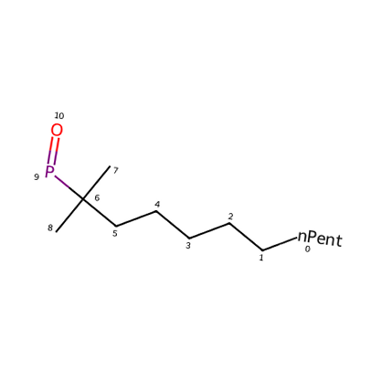 CCCCCCCCCCC(C)(C)P=O